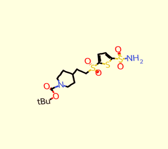 CC(C)(C)OC(=O)N1CCC(CCS(=O)(=O)c2ccc(S(N)(=O)=O)s2)CC1